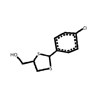 OCC1CSC(c2ccc(Cl)cc2)S1